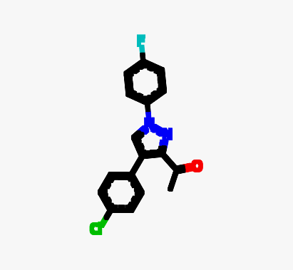 CC(=O)c1nn(-c2ccc(F)cc2)cc1-c1ccc(Cl)cc1